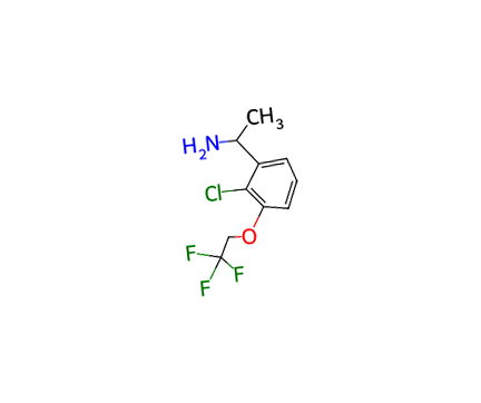 CC(N)c1cccc(OCC(F)(F)F)c1Cl